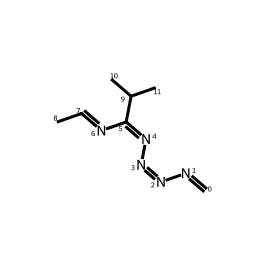 C=N\N=N/N=C(\N=C\C)C(C)C